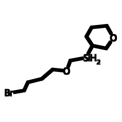 BrCCCCOC[SiH2]C1CCCOC1